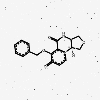 O=C1NC2COC[C@H]2n2ccc(=O)c(OCc3ccccc3)c21